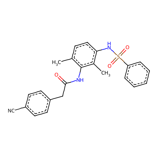 Cc1ccc(NS(=O)(=O)c2ccccc2)c(C)c1NC(=O)Cc1ccc(C#N)cc1